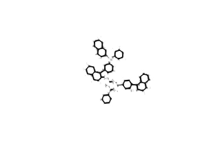 c1ccc(-c2nc(-c3ccc4c(c3)oc3ccc5ccccc5c34)nc(-n3c4ccc(N(c5ccccc5)c5ccc6ccccc6c5)cc4c4c5ccccc5ccc43)n2)cc1